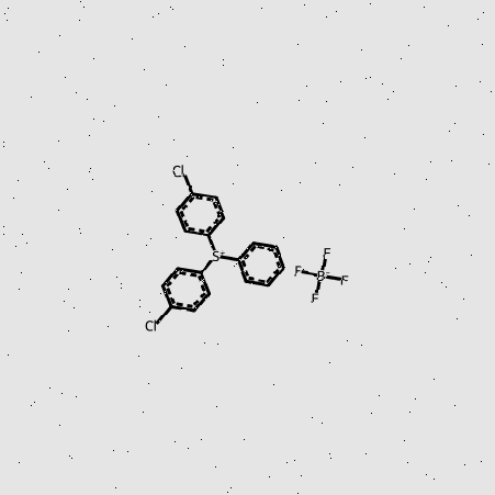 Clc1ccc([S+](c2ccccc2)c2ccc(Cl)cc2)cc1.F[B-](F)(F)F